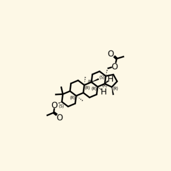 CC(=O)OC[C@]12CC[C@@H](C)[C@@H]1[C@H]1CCC3[C@@]4(C)CC[C@H](OC(C)=O)C(C)(C)C4CC[C@@]3(C)[C@]1(C)CC2